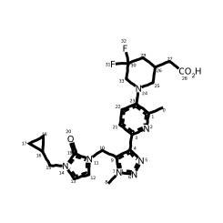 Cc1nc(-c2nnn(C)c2Cn2ccn(CC3CC3)c2=O)ccc1N1CC(CC(=O)O)CC(F)(F)C1